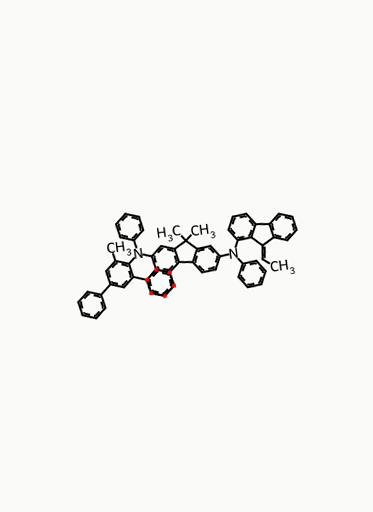 C/C=C1\c2ccccc2-c2cccc(N(c3ccccc3)c3ccc4c(c3)C(C)(C)c3cc(N(c5ccccc5)c5c(C)cc(-c6ccccc6)cc5-c5ccccc5)c5ccccc5c3-4)c21